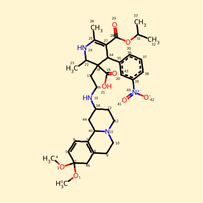 COC1(OC)C=CC2=C(CCN3CCC(NCCC4(C(=O)O)C(C)NC(C)=C(C(=O)OC(C)C)C4c4cccc([N+](=O)[O-])c4)CC23)C1